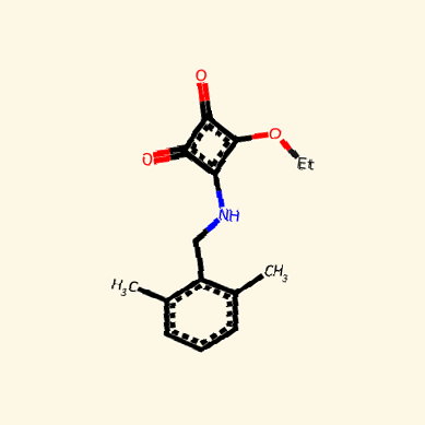 CCOc1c(NCc2c(C)cccc2C)c(=O)c1=O